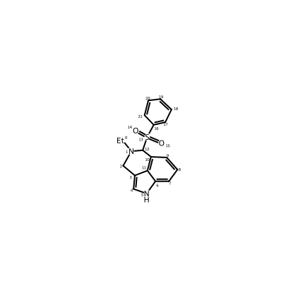 CCN1Cc2c[nH]c3cccc(c23)C1S(=O)(=O)c1ccccc1